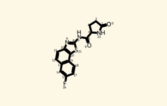 O=C1CCC(C(=O)Nc2nc3ccc4cc(F)ccc4c3s2)N1